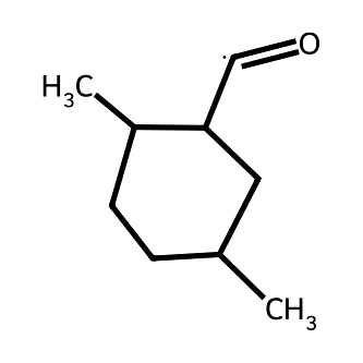 CC1CCC(C)C([C]=O)C1